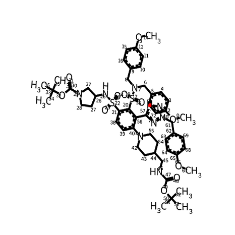 COc1ccc(CN(Cc2ccc(OC)cc2)S(=O)(=O)c2c(S(=O)(=O)NC3CCN(C(=O)OC(C)(C)C)C3)ccc(N3CCC(CNC(=O)OC(C)(C)C)CC3)c2-c2nnn(Cc3ccc(OC)cc3)n2)cc1